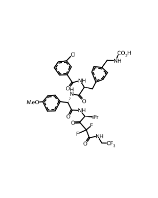 COc1ccc([C@H](NC(=O)[C@H](Cc2ccc(CNC(=O)O)cc2)NC(=O)c2cccc(Cl)c2)C(=O)N[C@H](C(=O)C(F)(F)C(=O)NCC(F)(F)F)C(C)C)cc1